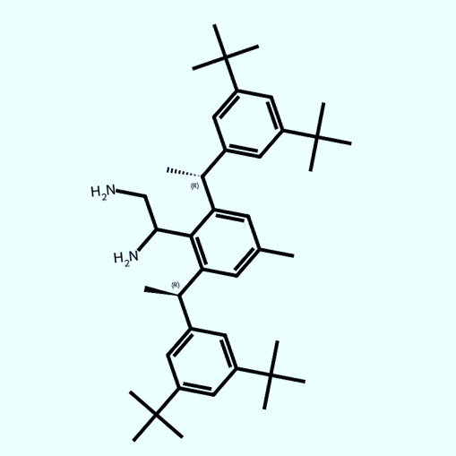 Cc1cc([C@H](C)c2cc(C(C)(C)C)cc(C(C)(C)C)c2)c(C(N)CN)c([C@H](C)c2cc(C(C)(C)C)cc(C(C)(C)C)c2)c1